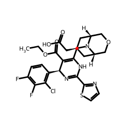 CCOC(=O)C1=C(CN2[C@@H]3COC[C@H]2C[C@H](CC(=O)O)C3)NC(c2nccs2)=N[C@H]1c1ccc(F)c(F)c1Cl